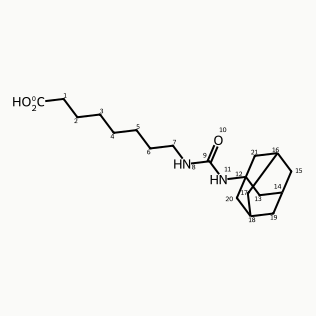 O=C(O)CCCCCCCNC(=O)NC12CC3CC(CC(C3)C1)C2